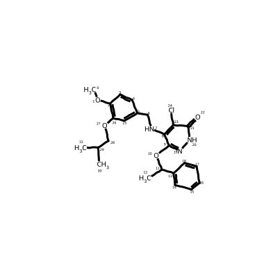 COc1ccc(CNc2c(OC(C)c3ccccc3)n[nH]c(=O)c2Cl)cc1OCC(C)C